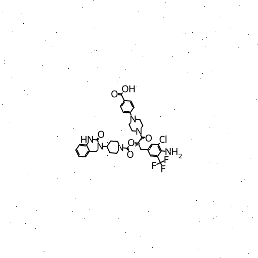 Nc1c(Cl)cc(C[C@@H](OC(=O)N2CCC(N3Cc4ccccc4NC3=O)CC2)C(=O)N2CCN(c3ccc(C(=O)O)cc3)CC2)cc1C(F)(F)F